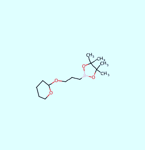 CC1(C)OB(CCCOC2CCCCO2)OC1(C)C